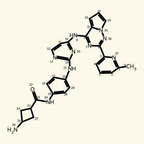 Cc1cccc(-c2nc(Nc3ccnc(Nc4ccc(NC(=O)C5CC(N)C5)cc4)n3)c3cccn3n2)n1